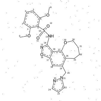 COc1cccc(OC)c1S(=O)(=O)Nc1noc2cc(Cn3cccn3)c3c(c12)OCCCC3